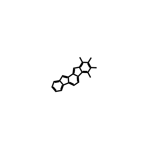 Cc1c(C)c(C)c2c(c1C)C=c1c-2ccc2c1=Cc1ccccc1-2